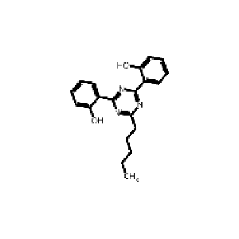 CCCCCc1nc(-c2ccccc2O)nc(-c2ccccc2O)n1